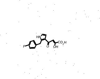 O=C(O)C(O)=CC(=O)c1cc[nH]c1Cc1ccc(F)cc1